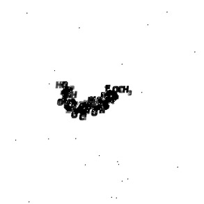 COc1ccc(-c2cnc(C(=O)Nc3ccc(C(=O)N4CCN(C(=O)[C@@H]5C[C@@H](O)CN5)CC4)c(Cl)c3)n2C)c(F)c1F